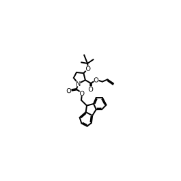 C=CCOC(=O)C1C(OC(C)(C)C)CCN1C(=O)OCC1c2ccccc2-c2ccccc21